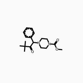 COC(=O)N1CCN(C(C(=O)C(C)(C)C)c2ccccc2)CC1